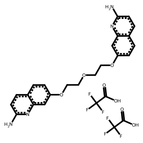 Nc1ccc2ccc(OCCOCCOc3ccc4ccc(N)nc4c3)cc2n1.O=C(O)C(F)(F)F.O=C(O)C(F)(F)F